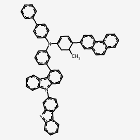 CC1CC(N(c2ccc(-c3ccccc3)cc2)c2cccc(-c3cccc4c3c3ccccc3n4-c3ccc4c(c3)sc3ccccc34)c2)=CC=C1c1ccc2c(ccc3ccccc32)c1